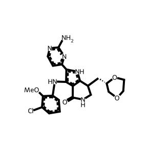 COc1c(Cl)cccc1Nc1c(-c2ccnc(N)n2)[nH]c2c1C(=O)NCC2C[C@H]1COCCO1